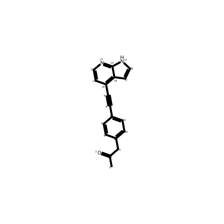 CC(=O)Cc1ccc(C#Cc2ccnc3[nH]ccc23)cc1